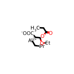 CC(C)[CH2][Al+2].CCC(=O)[O-].CCOCCC(=O)[O-]